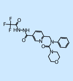 O=C(NNC(=O)C(F)(F)F)c1ccc(CN(C(=O)N2CCOCC2)c2ccccc2)nc1